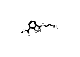 COC(=O)c1cccc2c(OCCN)noc12